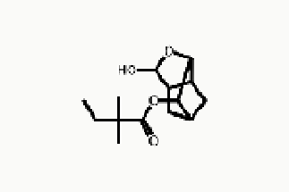 CCC(C)(C)C(=O)OC1C2CC3C(O)OC1C3C2